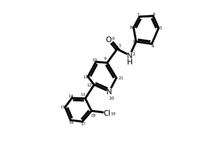 O=C(Nc1ccccc1)c1ccc(-c2ccccc2Cl)nc1